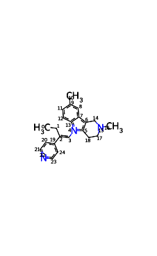 CCC(=Cn1c2c(c3cc(C)ccc31)CN(C)CC2)c1ccncc1